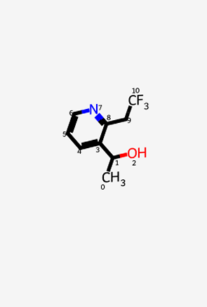 CC(O)c1cccnc1CC(F)(F)F